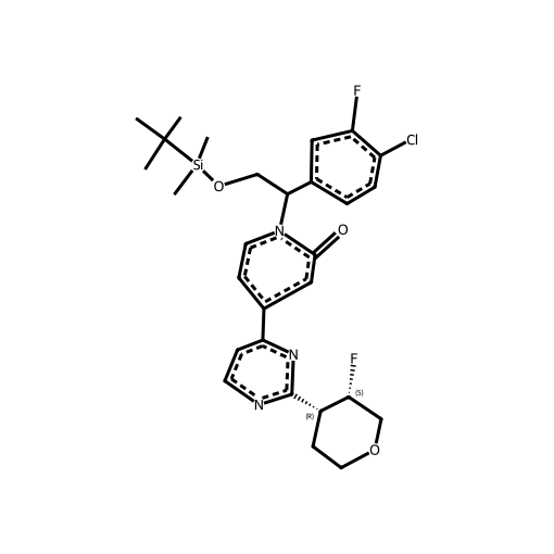 CC(C)(C)[Si](C)(C)OCC(c1ccc(Cl)c(F)c1)n1ccc(-c2ccnc([C@H]3CCOC[C@H]3F)n2)cc1=O